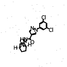 N#CN1[C@H]2CC[C@@H]1[C@H](NC(=O)c1cnn(-c3cc(Cl)cc(Cl)c3)c1)C2